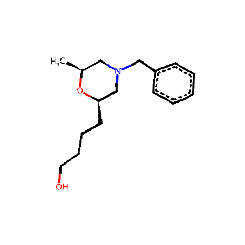 C[C@H]1CN(Cc2ccccc2)C[C@@H](CCCCO)O1